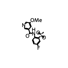 COc1cncc(C(=O)Nc2ccc(F)cc2S(C)(=O)=O)c1